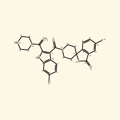 C=C(c1[nH]c2cc(Cl)ccc2c1C(=O)N1CCC2(CC1)OC(=O)c1cc(F)ccc12)N1CCNCC1